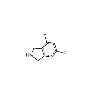 Fc1cc(F)c2c(c1)CNC2